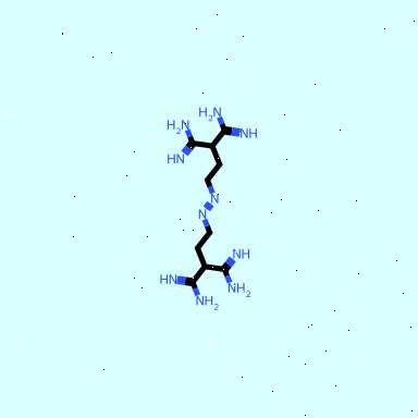 N=C(N)C(CCN=NCCC(C(=N)N)C(=N)N)C(=N)N